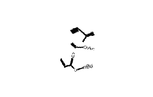 C=CC(=C)C.C=CC(=O)OCCCC.C=COC(C)=O